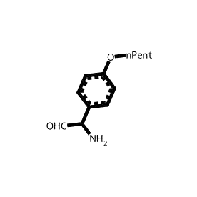 CCCCCOc1ccc(C(N)[C]=O)cc1